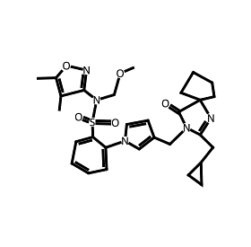 COCN(c1noc(C)c1C)S(=O)(=O)c1ccccc1-n1ccc(CN2C(=O)C3(CCCC3)N=C2CC2CC2)c1